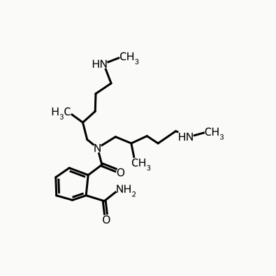 CNCCCC(C)CN(CC(C)CCCNC)C(=O)c1ccccc1C(N)=O